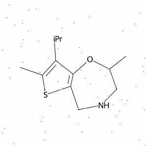 Cc1sc2c(c1C(C)C)OC(C)CNC2